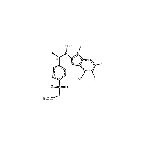 CCOC(=O)CS(=O)(=O)c1ccc([C@@H](C)N(C=O)c2cc3c(Cl)c(Cl)c(C)nc3n2C)cc1